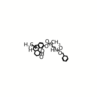 CN(CCNC(=O)OCC1C=CC=CC1)C(=O)Oc1ccc2c3c1O[C@H]1C(=O)CCC4[C@@H](C2)N(C)CC[C@@]341